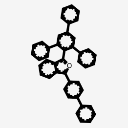 c1ccc(-c2ccc(-c3oc(-c4c(-c5ccccc5)cc(-c5ccccc5)cc4-c4ccccc4)c4ccccc34)cc2)cc1